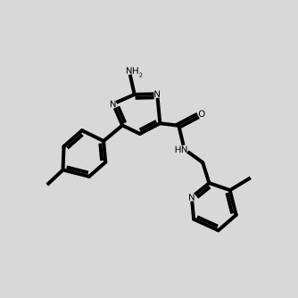 Cc1ccc(-c2cc(C(=O)NCc3ncccc3C)nc(N)n2)cc1